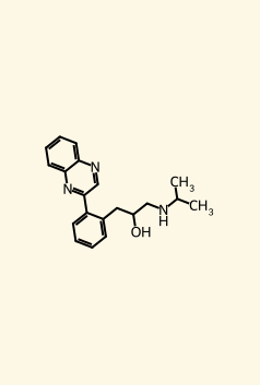 CC(C)NCC(O)Cc1ccccc1-c1cnc2ccccc2n1